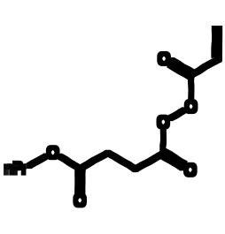 C=CC(=O)OOC(=O)CCC(=O)OCCC